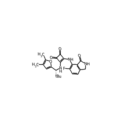 Cc1cc([C@H](Nc2c(Nc3c(F)ccc4c3C(=O)NC4)c(=O)c2=O)C(C)(C)C)oc1C